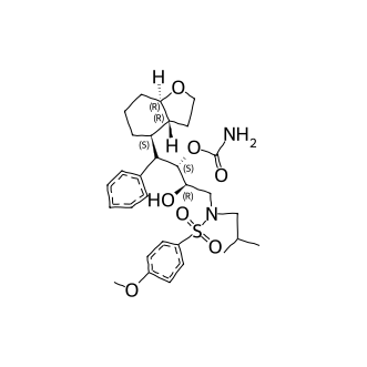 COc1ccc(S(=O)(=O)N(CC(C)C)C[C@@H](O)[C@@H](OC(N)=O)C(c2ccccc2)[C@H]2CCC[C@H]3OCC[C@H]23)cc1